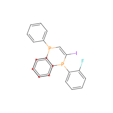 Fc1ccccc1P(/C(I)=C\P(c1ccccc1)c1ccccc1)c1ccccc1